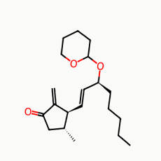 C=C1C(=O)C[C@@H](C)[C@@H]1/C=C/[C@H](CCCCC)OC1CCCCO1